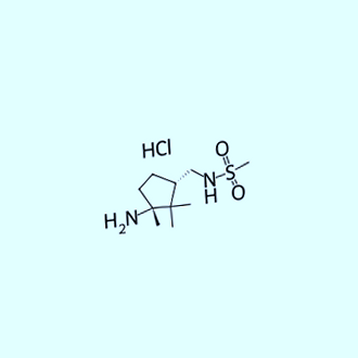 CC1(C)[C@@H](CNS(C)(=O)=O)CC[C@@]1(C)N.Cl